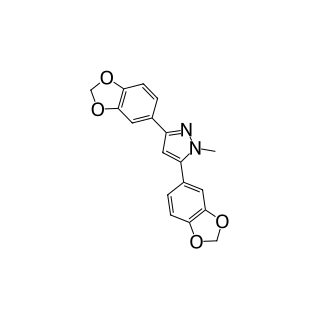 Cn1nc(-c2ccc3c(c2)OCO3)cc1-c1ccc2c(c1)OCO2